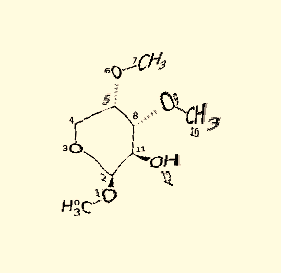 CO[C@H]1OC[C@H](OC)[C@H](OC)[C@H]1O